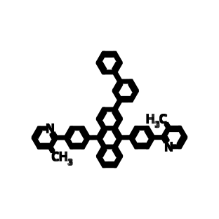 Cc1cccnc1-c1ccc(-c2c3ccccc3c(-c3ccc(-c4ncccc4C)cc3)c3cc(-c4cccc(-c5ccccc5)c4)ccc23)cc1